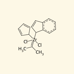 C[C](C)=[Zr]([Cl])([Cl])([CH]1C=CC=C1)[CH]1C=Cc2ccccc21